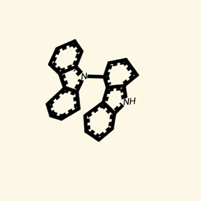 c1ccc2c(c1)[nH]c1cccc(-n3c4ccccc4c4ccccc43)c12